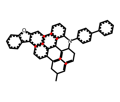 CC1C=CC=C(c2cccc3cccc(C4=CC=CCC4N(c4ccc(-c5ccccc5)cc4)c4cccc(-c5ccc6c(c5)oc5ccccc56)c4)c23)C1